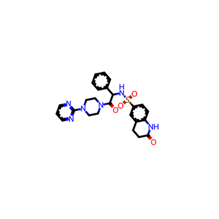 O=C1CCc2cc(S(=O)(=O)NC(C(=O)N3CCN(c4ncccn4)CC3)c3ccccc3)ccc2N1